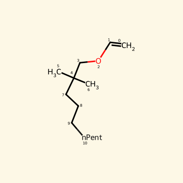 C=COCC(C)(C)CCCCCCCC